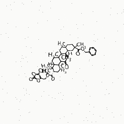 Cc1oc(=O)oc1COC(=O)[C@H]1CC[C@]2(C)C3C(=O)C=C4[C@@H]5C[C@@](C)(C(=O)OCc6ccccc6)CC[C@]5(C)CC[C@@]4(C)[C@]3(C)CC[C@H]2C1(C)C